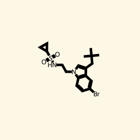 CC(C)(C)Cc1cn(CCNS(=O)(=O)C2CC2)c2ccc(Br)cc12